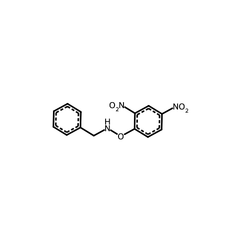 O=[N+]([O-])c1ccc(ONCc2ccccc2)c([N+](=O)[O-])c1